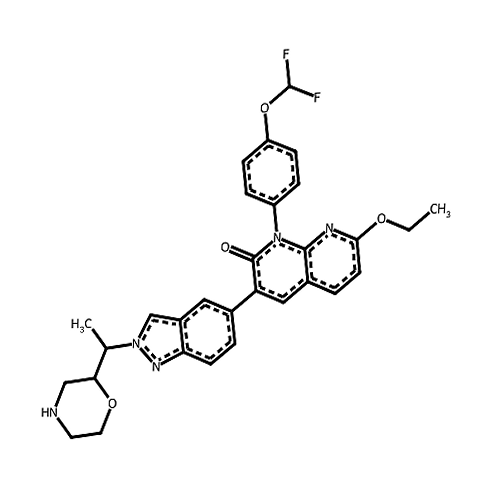 CCOc1ccc2cc(-c3ccc4nn(C(C)C5CNCCO5)cc4c3)c(=O)n(-c3ccc(OC(F)F)cc3)c2n1